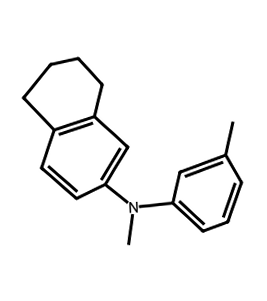 Cc1cccc(N(C)c2ccc3c(c2)CCCC3)c1